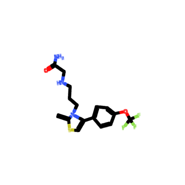 C=C1SC=C(c2ccc(OC(F)(F)F)cc2)N1CCCNCC(N)=O